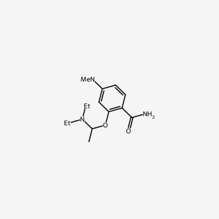 CCN(CC)C(C)Oc1cc(NC)ccc1C(N)=O